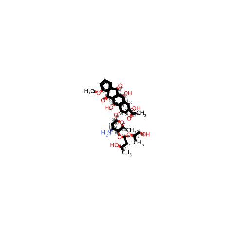 COc1cccc2c1C(=O)c1c(O)c3c(c(O)c1C2=O)C[C@@](O)(C(C)=O)C[C@@H]3O[C@H]1C[C@H](N)[C@H](OC(CC(C)O)OC(C)CO)[C@H](C)O1